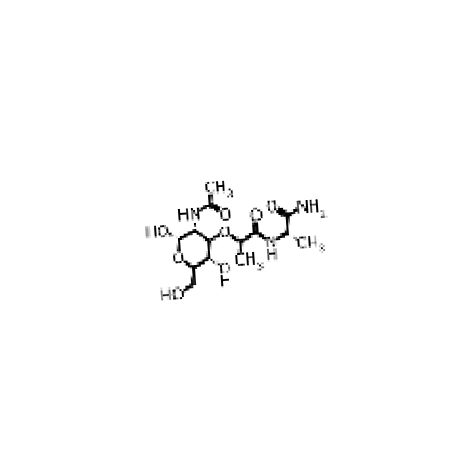 CC(=O)N[C@@H]1[C@@H](OC(C)C(=O)N[C@@H](C)C(N)=O)[C@H](O)[C@@H](CO)O[C@@H]1O